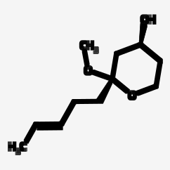 C/C=C/CC[C@@]1(OC)C[C@@H](O)CCO1